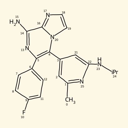 Cc1cc(-c2c(-c3ccc(F)cc3)nc(N)c3nccn23)cc(NC(C)C)n1